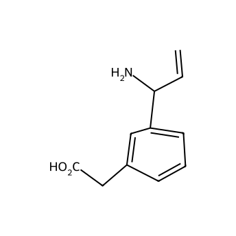 C=CC(N)c1cccc(CC(=O)O)c1